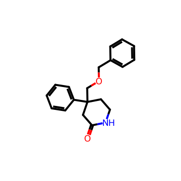 O=C1CC(COCc2ccccc2)(c2ccccc2)CCN1